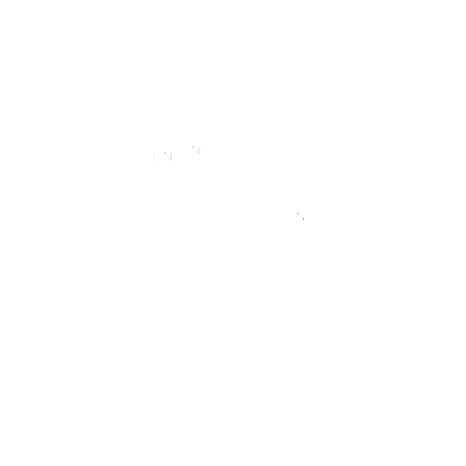 O=[N+]([O-])c1ccc(-c2n[nH]c3cccc(Cc4ccccc4)c23)o1